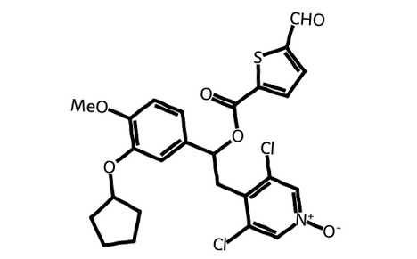 COc1ccc(C(Cc2c(Cl)c[n+]([O-])cc2Cl)OC(=O)c2ccc(C=O)s2)cc1OC1CCCC1